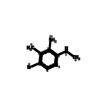 CNc1ncc(Br)c(C)c1N